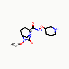 O=C(NOC1CCCNC1)[C@@H]1CCC2CN1C(=O)N2OS(=O)(=O)O